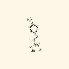 CCO[SiH](OCC)[SiH2]Oc1ccc(N)cc1